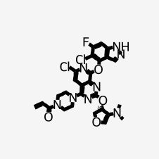 C=CC(=O)N1CCN(c2nc(O[C@@H]3COC=C3N(C)C)nc3c(Oc4c(Cl)c(F)cc5[nH]ncc45)nc(Cl)cc23)CC1